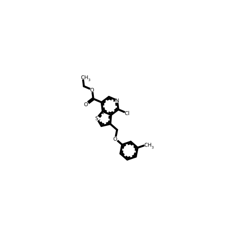 CCOC(=O)c1cnc(Cl)c2c(COc3cccc(C)c3)csc12